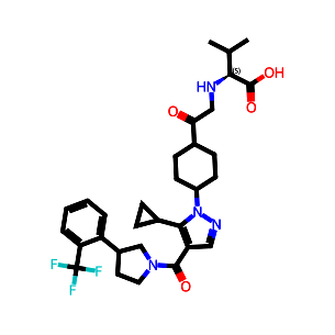 CC(C)[C@H](NCC(=O)C1CCC(n2ncc(C(=O)N3CCC(c4ccccc4C(F)(F)F)C3)c2C2CC2)CC1)C(=O)O